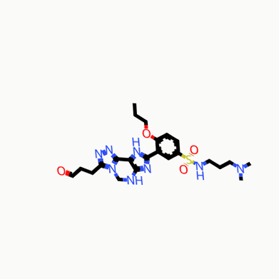 CCCOc1ccc(S(=O)(=O)NCCCN(C)C)cc1-c1nc2c([nH]1)-c1nnc(CCC=O)n1CN2